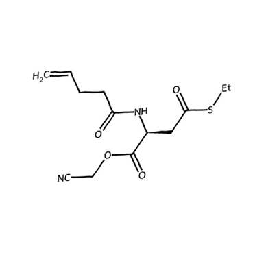 C=CCCC(=O)N[C@@H](CC(=O)SCC)C(=O)OCC#N